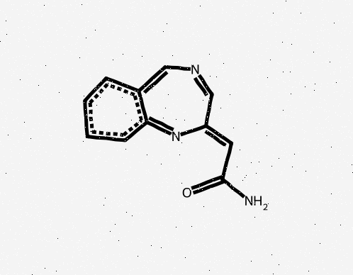 NC(=O)C=C1C=NC=c2ccccc2=N1